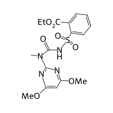 CCOC(=O)c1ccccc1S(=O)(=O)NC(=O)N(C)c1nc(OC)cc(OC)n1